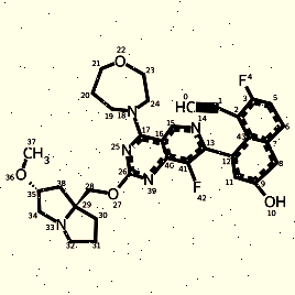 C#Cc1c(F)ccc2cc(O)cc(-c3ncc4c(N5CCCOCC5)nc(OC[C@@]56CCCN5C[C@H](OC)C6)nc4c3F)c12